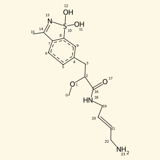 COC(Cc1ccc2c(c1)S(O)(O)N=C2C)C(=O)NCC=CCN